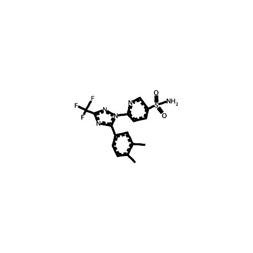 Cc1ccc(-c2nc(C(F)(F)F)nn2-c2ccc(S(N)(=O)=O)cn2)cc1C